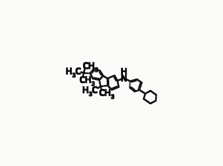 CC(C)(C)c1ccc2c(c1)C(C)(C)c1ccc(Nc3ccc(C4CCCCC4)cc3)cc1-2